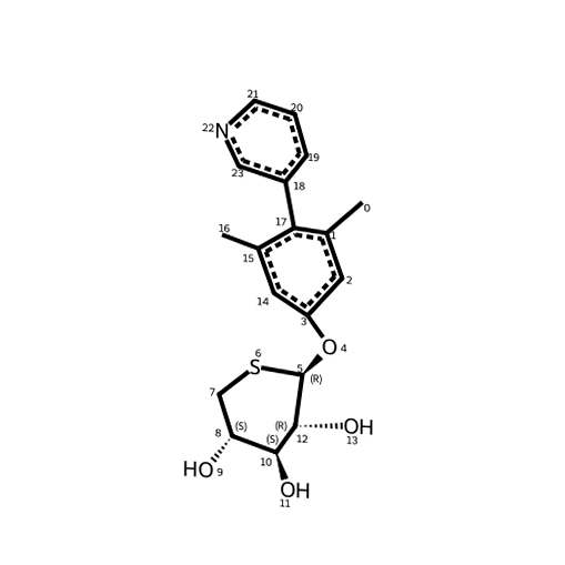 Cc1cc(O[C@@H]2SC[C@@H](O)[C@H](O)[C@H]2O)cc(C)c1-c1cccnc1